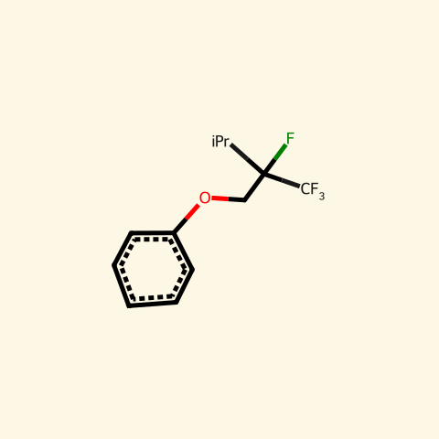 CC(C)C(F)(COc1ccccc1)C(F)(F)F